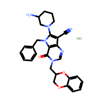 Cl.N#Cc1c(N2CCCC(N)C2)n(Cc2ccccc2)c2c(=O)n(CC3COc4ccccc4O3)cnc12